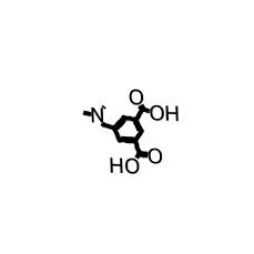 CN(C)Cc1cc(C(=O)O)cc(C(=O)O)c1